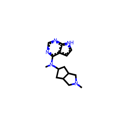 CN1CC2CC(N(C)c3ncnc4[nH]ccc34)CC2C1